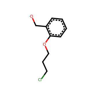 [O]Cc1ccccc1OCCCCl